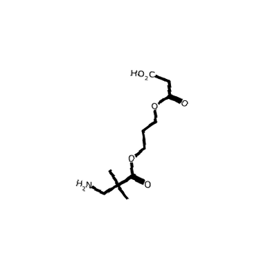 CC(C)(CN)C(=O)OCCCOC(=O)CC(=O)O